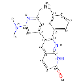 Cc1cc(-c2cc3ccc(=O)[nH]c3nc2-c2cccc(C#N)c2)cc(N(C)C)n1